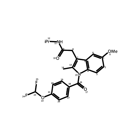 COc1ccc2c(c1)c(CC(=O)NC(C)C)c(C)n2C(=O)c1ccc(OC(F)F)cc1